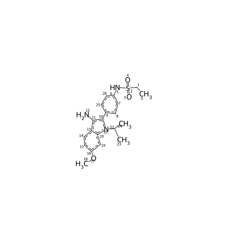 CCS(=O)(=O)Nc1ccc(-c2c(N)c3ccc(OC)cc3n2C(C)C)cc1